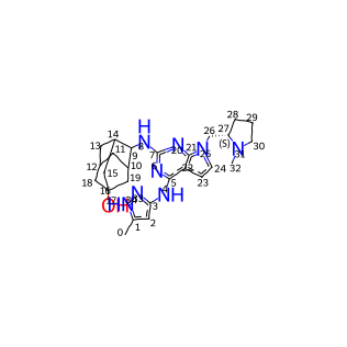 Cc1cc(Nc2nc(NC3C4CC5CC3CC(O)(C5)C4)nc3c2ccn3C[C@@H]2CCCN2C)n[nH]1